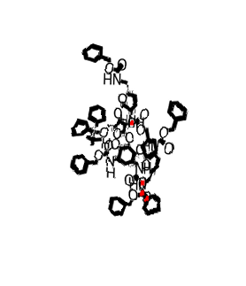 CC(C)(C)[Si](OC[C@H]1O[C@@H](O[C@@H]2[C@@H](O)[C@H](NC(=O)OCc3ccccc3)C[C@H](NC(=O)OCc3ccccc3)[C@H]2O[C@H]2O[C@H](CNC(=O)OCc3ccccc3)C=C[C@H]2NC(=O)OCc2ccccc2)[C@H](O)[C@@H]1O[C@H]1O[C@H](CNC(=O)OCc2ccccc2)C=C[C@H]1NC(=O)OCc1ccccc1)(c1ccccc1)c1ccccc1